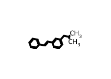 CC(C)Cc1cccc(/C=C/c2ccccc2)c1